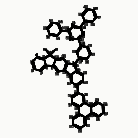 CC1(C)c2ccccc2-c2cc3c4cc(-c5ccc6c7ccccc7c7ccccc7c6c5)ccc4n(-c4cccc(-c5nc(-c6ccccc6)nc(-c6ccccc6)n5)c4)c3cc21